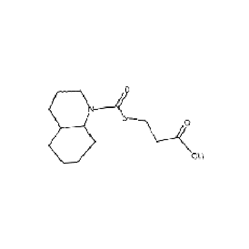 O=C(O)CCSC(=O)N1CCCC2CCCCC21